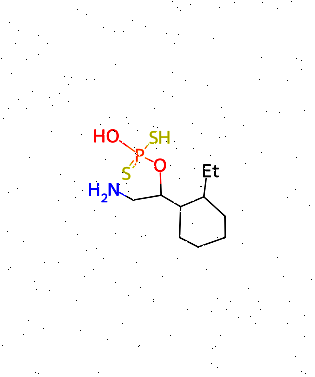 CCC1CCCCC1C(CN)OP(O)(=S)S